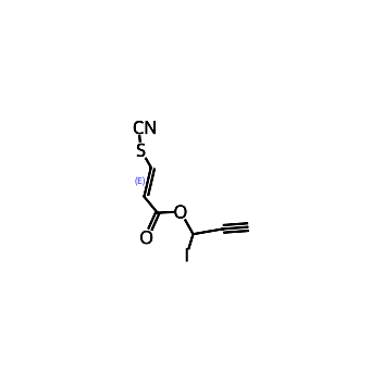 C#CC(I)OC(=O)/C=C/SC#N